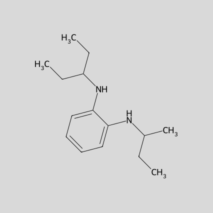 CCC(C)Nc1ccccc1NC(CC)CC